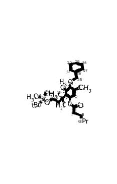 Cc1cc(OC(=O)CCC(C)C)c(C(C)(C)CCO[Si](C)(C)C(C)(C)C)c(C)c1OCc1ccccc1